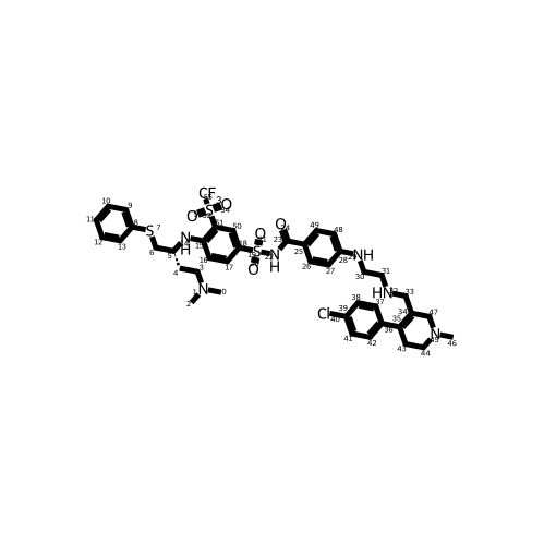 CN(C)CC[C@H](CSc1ccccc1)Nc1ccc(S(=O)(=O)NC(=O)c2ccc(NCCNCC3=C(c4ccc(Cl)cc4)CCN(C)C3)cc2)cc1S(=O)(=O)C(F)(F)F